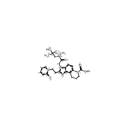 COC(=O)N1CCCc2c1ccc1c2nc(CCn2ccccc2=O)n1CC(=O)N(C)CC(C)(C)O